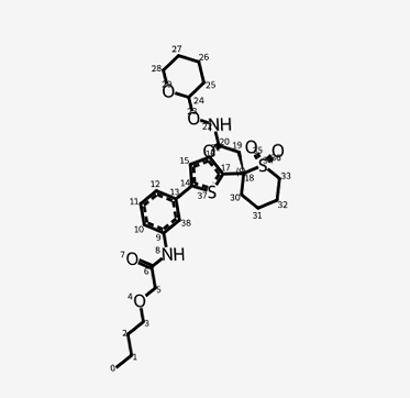 CCCCOCC(=O)Nc1cccc(-c2ccc([C@@]3(CC(=O)NOC4CCCCO4)CCCCS3(=O)=O)s2)c1